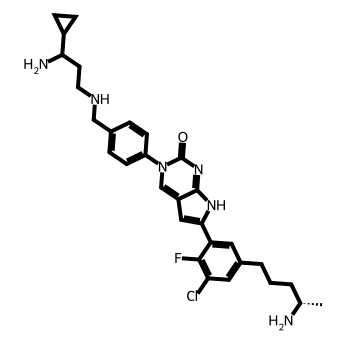 C[C@H](N)CCCc1cc(Cl)c(F)c(-c2cc3cn(-c4ccc(CNCCC(N)C5CC5)cc4)c(=O)nc3[nH]2)c1